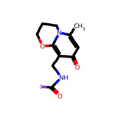 Cc1cc(=O)c(CNC(=O)I)c2n1CCCO2